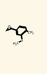 CSc1cc(C2CO2)ccc1C